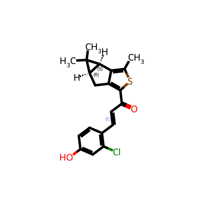 Cc1sc(C(=O)/C=C/c2ccc(O)cc2Cl)c2c1[C@H]1[C@@H](C2)C1(C)C